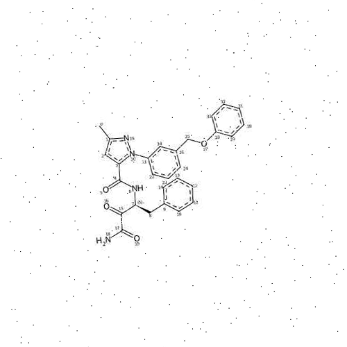 Cc1cc(C(=O)N[C@@H](Cc2ccccc2)C(=O)C(N)=O)n(-c2cccc(COc3ccccc3)c2)n1